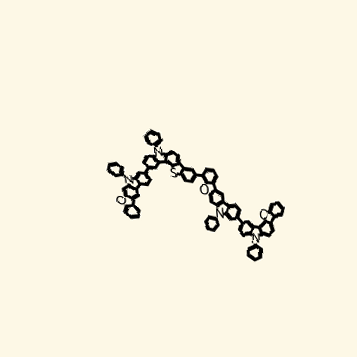 c1ccc(-n2c3cc(-c4ccc5c(c4)c4c6sc7ccc(-c8cccc9c8oc8cc%10c(cc89)c8ccc(-c9ccc%11c(c9)c9c%12oc%13ccccc%13c%12ccc9n%11-c9ccccc9)cc8n%10-c8ccccc8)cc7c6ccc4n5-c4ccccc4)ccc3c3cc4c(cc32)oc2ccccc24)cc1